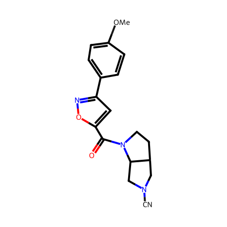 COc1ccc(-c2cc(C(=O)N3CCC4CN(C#N)CC43)on2)cc1